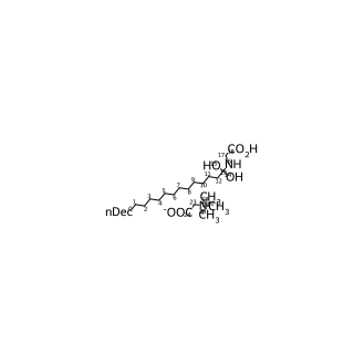 CCCCCCCCCCCCCCCCCCCCCCC(O)(O)NCC(=O)O.C[N+](C)(C)CC(=O)[O-]